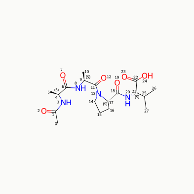 CC(=O)N[C@@H](C)C(=O)N[C@@H](C)C(=O)N1CCC[C@H]1C(=O)N[C@H](C(=O)O)C(C)C